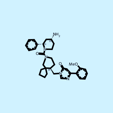 COc1ccccc1-c1cc(=O)n(C[C@@H]2CCN(C(=O)N3CC[C@@H](N)C[C@H]3c3ccccc3)CC23CCCC3)cn1